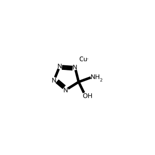 NC1(O)N=NN=N1.[Cu]